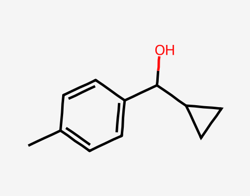 Cc1ccc(C(O)C2CC2)cc1